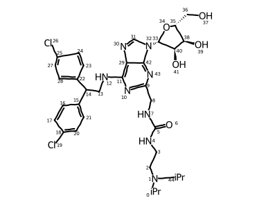 CC(C)N(CCNC(=O)NCc1nc(NCC(c2ccc(Cl)cc2)c2ccc(Cl)cc2)c2ncn([C@@H]3O[C@H](CO)[C@@H](O)[C@H]3O)c2n1)C(C)C